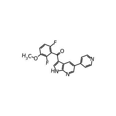 COc1ccc(F)c(C(=O)c2c[nH]c3ncc(-c4ccncc4)cc23)c1F